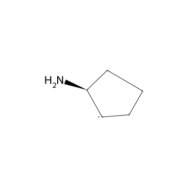 N[C@@H]1[CH]CCC1